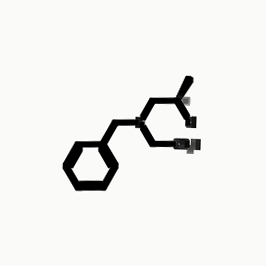 C[C@@H](Cl)CN(CC(=O)O)Cc1ccccc1